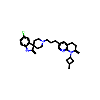 C=C1CCc2cc(CCCN3CCC4(CC3)C(=C)Nc3ccc(Cl)cc34)cnc2N1C1CC(C)C1